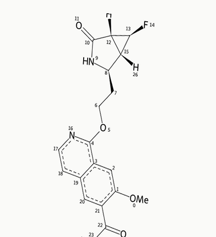 COc1cc2c(OCC[C@H]3NC(=O)[C@@H]4[C@@H](F)[C@@H]43)nccc2cc1C(N)=O